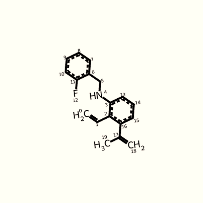 C=Cc1c(NCc2ccccc2F)cccc1C(=C)C